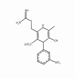 CCOC(=O)C1=C(CSC(=N)N)NC(C)=C(C#N)C1c1cccc([N+](=O)[O-])c1